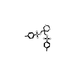 Cc1ccc(S(=O)(=O)OCC2(COS(=O)(=O)c3ccc(C)cc3)CSCSC2)cc1